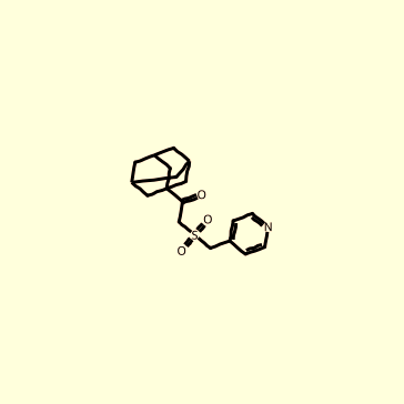 O=C(CS(=O)(=O)Cc1ccncc1)C12CC3CC(CC(C3)C1)C2